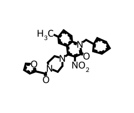 Cc1ccc2c(c1)c(N1CCN(C(=O)c3ccco3)CC1)c([N+](=O)[O-])c(=O)n2Cc1ccccc1